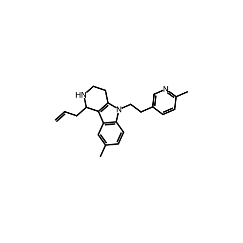 C=CCC1NCCc2c1c1cc(C)ccc1n2CCc1ccc(C)nc1